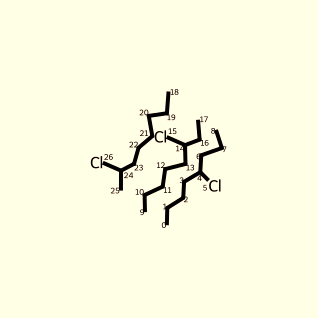 CCCCC(Cl)CCC.CCCCCC(Cl)CC.CCCCCCC(C)Cl